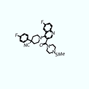 CSN1CCN(C(=O)c2cnc3ccc(F)cc3c2N2CCC(C#N)(c3ccc(F)cc3)CC2)CC1